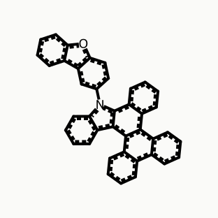 c1ccc2c(c1)oc1ccc(-n3c4ccccc4c4c5c6ccccc6c6ccccc6c5c5ccccc5c43)cc12